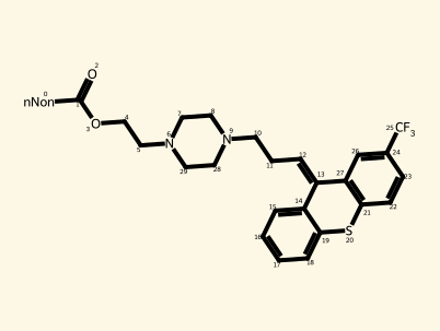 CCCCCCCCCC(=O)OCCN1CCN(CC/C=C2\c3ccccc3Sc3ccc(C(F)(F)F)cc32)CC1